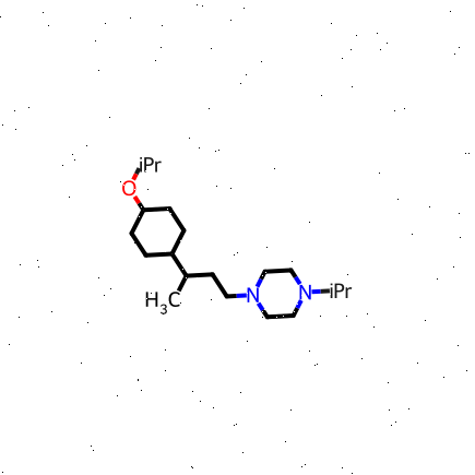 CC(C)OC1CCC(C(C)CCN2CCN(C(C)C)CC2)CC1